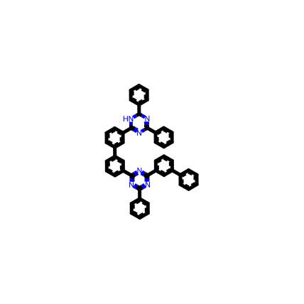 c1ccc(C2=NC(c3ccccc3)NC(c3cccc(-c4cccc(-c5nc(-c6ccccc6)nc(-c6cccc(-c7ccccc7)c6)n5)c4)c3)=N2)cc1